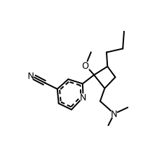 CCCC1CC(CN(C)C)C1(OC)c1cc(C#N)ccn1